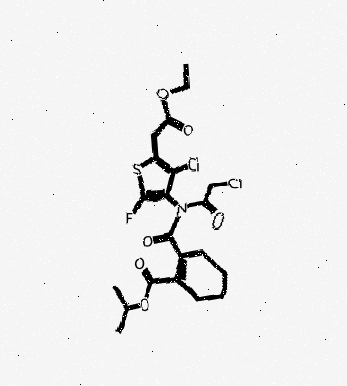 CCOC(=O)Cc1sc(F)c(N(C(=O)CCl)C(=O)C2=C(C(=O)OC(C)C)CCCC2)c1Cl